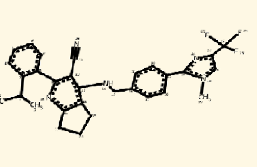 CC(C)c1ccccc1-c1nc2c(c(NCc3ccc(-c4nc(C(F)(F)F)cn4C)cc3)c1C#N)CCC2